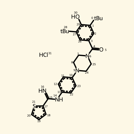 CC(C)(C)c1cc(C(=O)N2CCN(c3ccc(NC(=N)c4cccs4)cc3)CC2)cc(C(C)(C)C)c1O.Cl